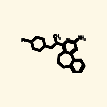 CC(C)N1CCC(CN(C)c2nc(N)nc3c2CCCc2ccccc2-3)CC1